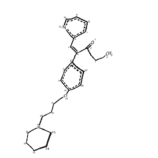 CCC(=O)/C(=C\c1ccccn1)c1ccc(OCCCN2CCCCC2)cc1